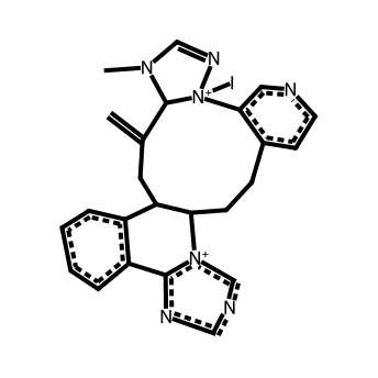 C=C1CC2c3ccccc3-c3ncnc[n+]3C2CCc2ccncc2[N+]2(I)N=CN(C)C12